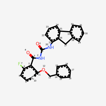 O=C(NC(=O)c1c(F)cccc1OCc1ccccc1)Nc1cccc2c1Cc1ccccc1-2